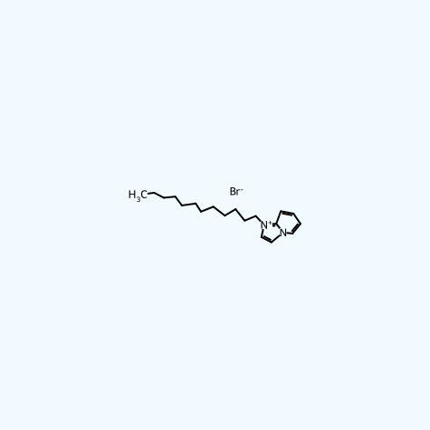 CCCCCCCCCCCC[n+]1ccn2ccccc21.[Br-]